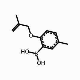 C=C(C)COc1ccc(C)cc1B(O)O